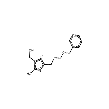 Cc1nc(CCCOCc2ccccc2)[nH]c1CO